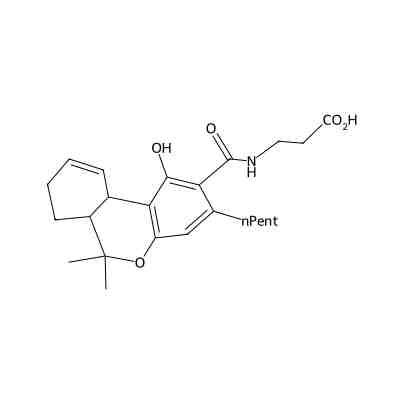 CCCCCc1cc2c(c(O)c1C(=O)NCCC(=O)O)C1C=CCCC1C(C)(C)O2